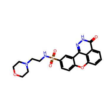 O=c1[nH]nc2c3c(cccc13)Oc1ccc(S(=O)(=O)NCCN3CCOCC3)cc1-2